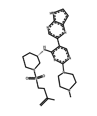 C=C(C)CCS(=O)(=O)N1CCC[C@H](Nc2nc(N3CCN(C)CC3)ncc2-c2cnc3[nH]ccc3n2)C1